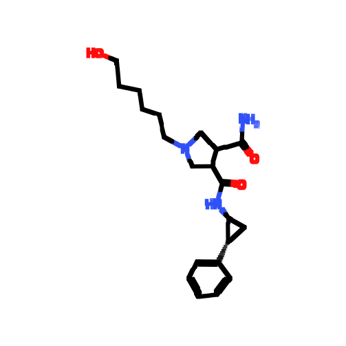 NC(=O)C1CN(CCCCCCO)CC1C(=O)N[C@H]1C[C@@H]1c1ccccc1